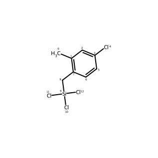 Cc1cc(Cl)ccc1C[Si](Cl)(Cl)Cl